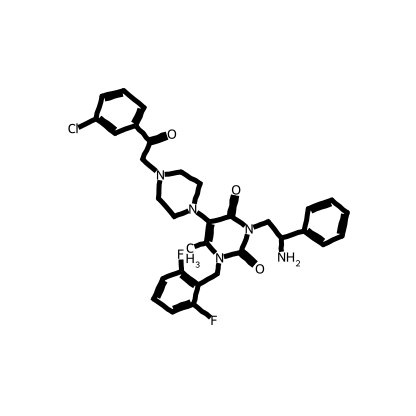 Cc1c(N2CCN(CC(=O)c3cccc(Cl)c3)CC2)c(=O)n(CC(N)c2ccccc2)c(=O)n1Cc1c(F)cccc1F